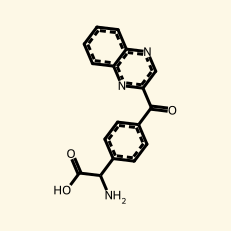 NC(C(=O)O)c1ccc(C(=O)c2cnc3ccccc3n2)cc1